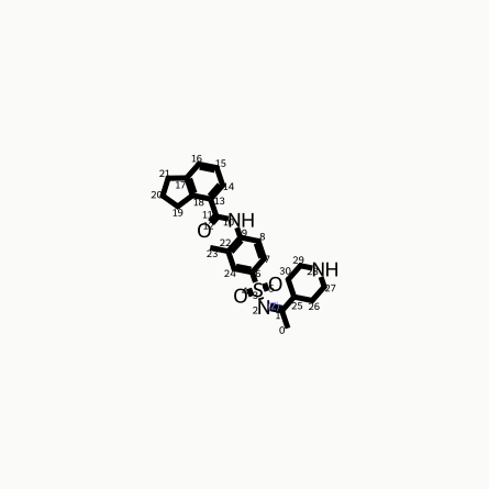 C/C(=N/S(=O)(=O)c1ccc(NC(=O)c2cccc3c2CCC3)c(C)c1)C1CCNCC1